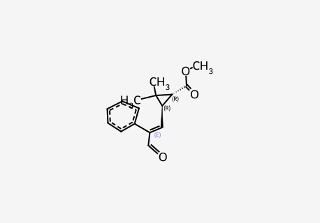 COC(=O)[C@@H]1[C@@H](/C=C(/C=O)c2ccccc2)C1(C)C